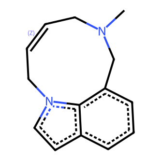 CN1C/C=C\Cn2ccc3cccc(c32)C1